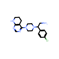 NCC(c1ccc(Cl)cc1)N1CCN(c2ncnc3c2CCCN3)CC1